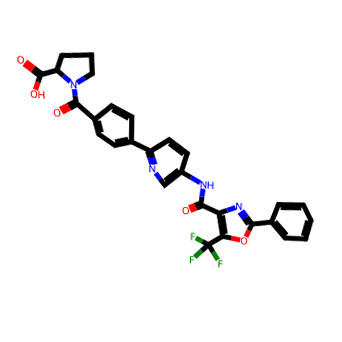 O=C(Nc1ccc(-c2ccc(C(=O)N3CCCC3C(=O)O)cc2)nc1)c1nc(-c2ccccc2)oc1C(F)(F)F